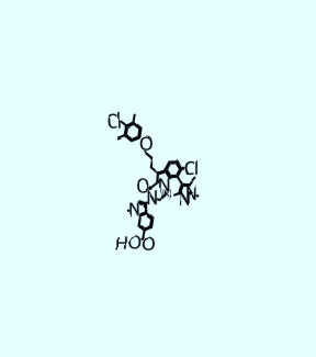 Cc1cc(OCCCc2c3n(c4c(-c5c(C)nn(C)c5C)c(Cl)ccc24)[C@H](C)CN(c2cn(C)c4cc(C(=O)O)ccc24)C3=O)cc(C)c1Cl